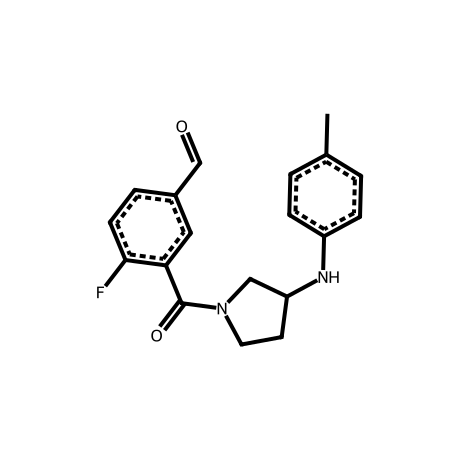 Cc1ccc(NC2CCN(C(=O)c3cc(C=O)ccc3F)C2)cc1